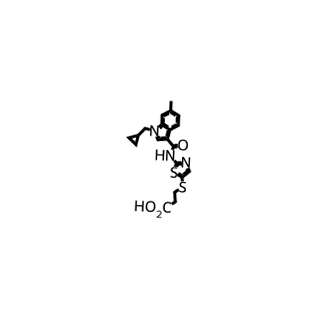 Cc1ccc2c(C(=O)Nc3ncc(SCCC(=O)O)s3)cn(CC3CC3)c2c1